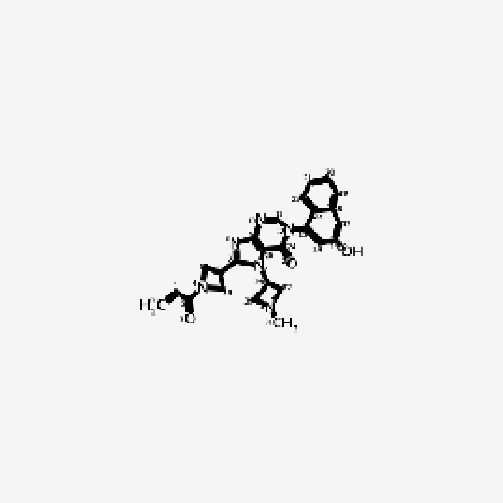 C=CC(=O)N1CC(c2nc3ncn(-c4cc(O)cc5ccccc45)c(=O)c3n2C2CN(C)C2)C1